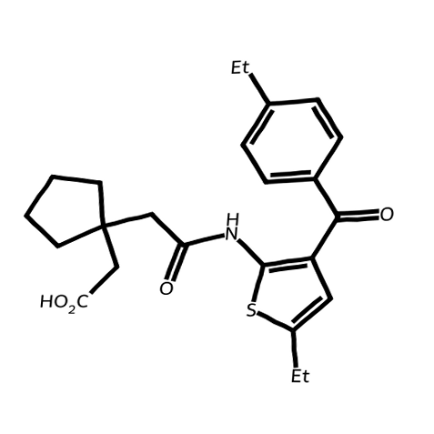 CCc1ccc(C(=O)c2cc(CC)sc2NC(=O)CC2(CC(=O)O)CCCC2)cc1